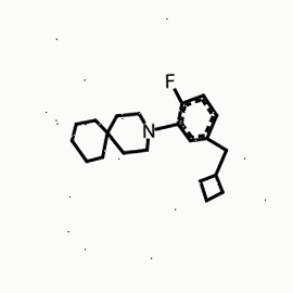 Fc1ccc(CC2CCC2)cc1N1CCC2(CCCCC2)CC1